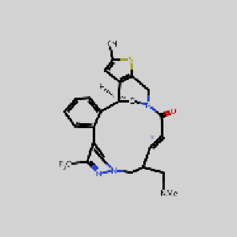 CNCC1/C=C/C(=O)N2Cc3sc(C#N)cc3[C@@H](C2)c2ccccc2-c2cn(nc2C(F)(F)F)C1